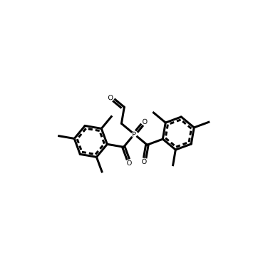 Cc1cc(C)c(C(=O)P(=O)(CC=O)C(=O)c2c(C)cc(C)cc2C)c(C)c1